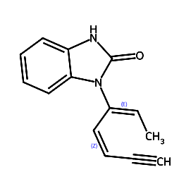 C#C/C=C\C(=C/C)n1c(=O)[nH]c2ccccc21